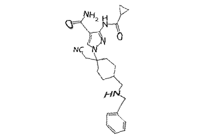 N#CCC1(n2cc(C(N)=O)c(NC(=O)C3CC3)n2)CCC(CNCc2ccccc2)CC1